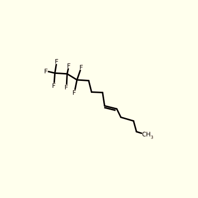 CCCCC=CCCCC(F)(F)C(F)(F)C(F)(F)F